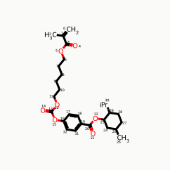 C=C(C)C(=O)OCCCCCCOC(=O)Oc1ccc(C(=O)OC2CC(C)CCC2C(C)C)cc1